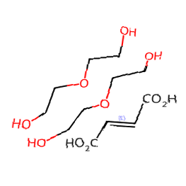 O=C(O)/C=C/C(=O)O.OCCOCCO.OCCOCCO